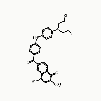 CC(C)n1cc(C(=O)O)c(=O)c2ccc(C(=O)c3ccc(Nc4ccc(N(CCCl)CCCl)cc4)cc3)cc21